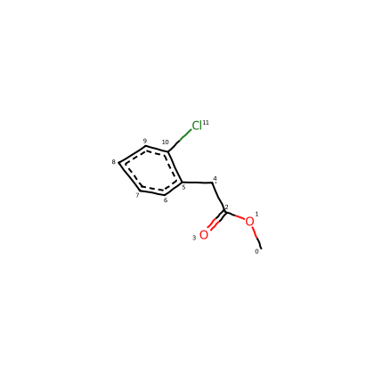 COC(=O)[CH]c1ccccc1Cl